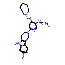 C=Nc1cnc(N2CCc3[nH]c4cc(F)ccc4c3C2)cc1SCN1CCCCC1